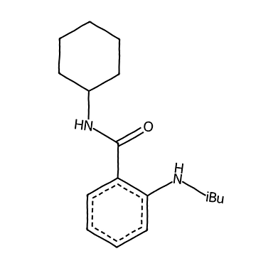 CCC(C)Nc1ccccc1C(=O)NC1CCCCC1